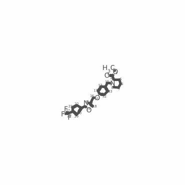 COC(=O)C1CCCCN1Cc1ccc(OCc2coc(-c3ccc(C(F)(F)F)cc3)n2)cc1